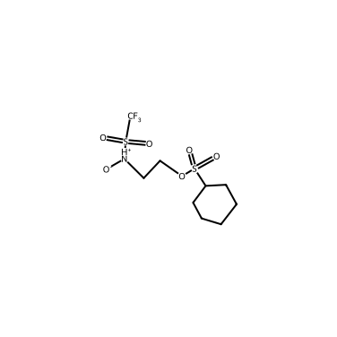 O=S(=O)(OCC[NH+]([O-])S(=O)(=O)C(F)(F)F)C1CCCCC1